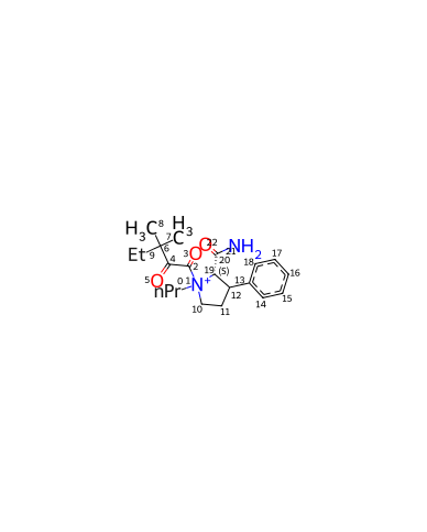 CCC[N+]1(C(=O)C(=O)C(C)(C)CC)CCC(c2ccccc2)[C@H]1C(N)=O